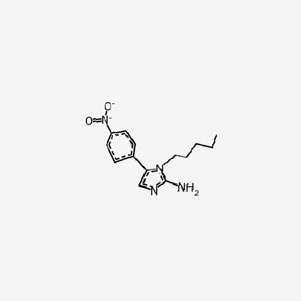 CCCCCn1c(-c2ccc([N+](=O)[O-])cc2)cnc1N